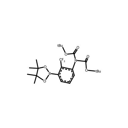 CC(C)(C)OC(=O)N(C(=O)OC(C)(C)C)c1cccc(B2OC(C)(C)C(C)(C)O2)c1C(F)(F)F